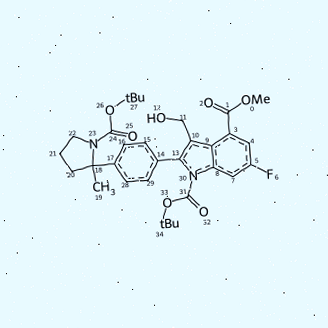 COC(=O)c1cc(F)cc2c1c(CO)c(-c1ccc(C3(C)CCCN3C(=O)OC(C)(C)C)cc1)n2C(=O)OC(C)(C)C